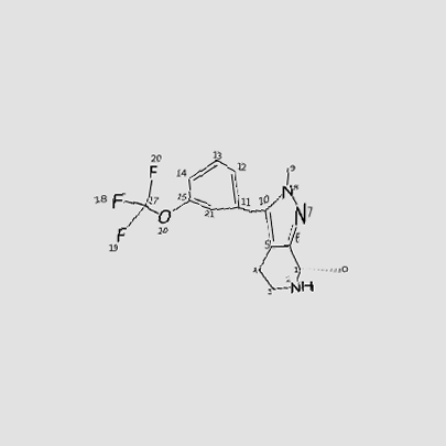 C[C@@H]1NCCc2c1nn(C)c2-c1cccc(OC(F)(F)F)c1